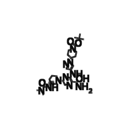 CN(C)C(=O)N[C@@H]1CCCN(c2cnc(C(N)O)c(Nc3cnn(C4CCN(C(=O)OC(C)(C)C)CC4)c3)n2)C1